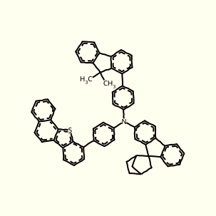 CC1(C)c2ccccc2-c2cccc(-c3ccc(N(c4ccc(-c5cccc6c5sc5c7ccccc7ccc65)cc4)c4ccc5c(c4)C4(CC6CCC4C6)c4ccccc4-5)cc3)c21